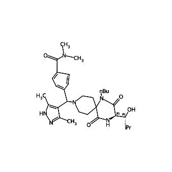 CCCCN1C(=O)[C@@H]([C@H](O)C(C)C)NC(=O)C12CCN(C(c1ccc(C(=O)N(C)C)cc1)c1c(C)n[nH]c1C)CC2